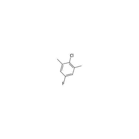 Cc1cc(F)cc(C)c1Cl